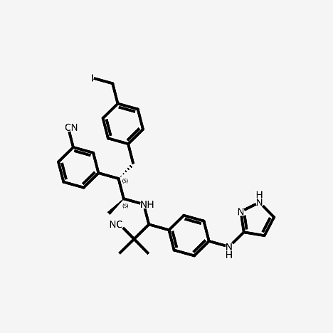 C[C@H](NC(c1ccc(Nc2cc[nH]n2)cc1)C(C)(C)C#N)[C@@H](Cc1ccc(CI)cc1)c1cccc(C#N)c1